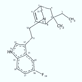 CCC1(C)CC2C=CC1N(CCc1c[nH]c3ccc(F)cc13)C2